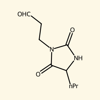 CCCC1NC(=O)N(CCC=O)C1=O